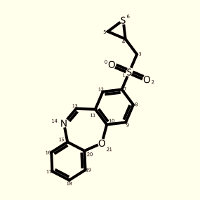 O=S(=O)(CC1CS1)c1ccc2c(c1)C=Nc1ccccc1O2